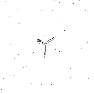 S=[Se]=S.[Sn]